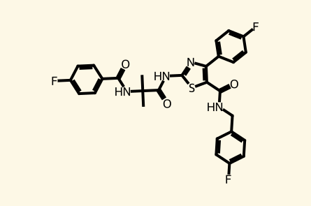 CC(C)(NC(=O)c1ccc(F)cc1)C(=O)Nc1nc(-c2ccc(F)cc2)c(C(=O)NCc2ccc(F)cc2)s1